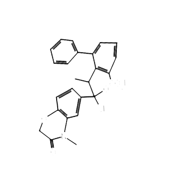 CC(c1c(C(=O)O)cccc1-c1ccccc1)C(O)(c1ccc2c(c1)N(C)C(=O)CO2)C(F)(F)F